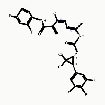 C=C(C(=O)Nc1ccc(F)cc1F)/C(Cl)=C\C=C(/C)NC(=O)C[C@@H]1[C@@H](c2cc(F)c(F)c(F)c2)C1(Cl)Cl